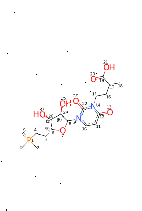 C=P(C)(C)CC[C@H]1OC(n2ccc(=O)n(CCC(C)C(=O)O)c2=O)[C@H](O)[C@@H]1O